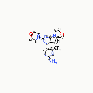 Nc1ncc(-c2nc(N3CCOCC3)nc3c2C[C@H]2COCCN32)c(C(F)(F)F)n1